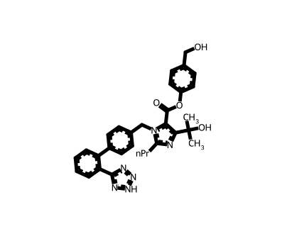 CCCc1nc(C(C)(C)O)c(C(=O)Oc2ccc(CO)cc2)n1Cc1ccc(-c2ccccc2-c2nn[nH]n2)cc1